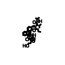 CCCC(=O)N(Cc1ccc(-c2ccccc2S(=O)(=O)Nc2noc(CCO)c2Cl)cc1)[C@H](C(=O)NC(C)C)C(C)C